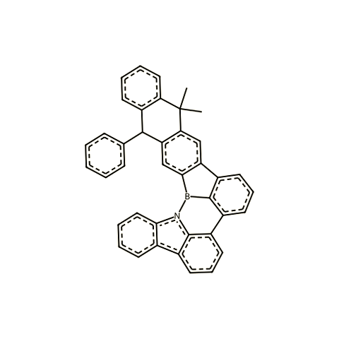 CC1(C)c2ccccc2C(c2ccccc2)c2cc3c(cc21)-c1cccc2c1B3n1c3ccccc3c3cccc-2c31